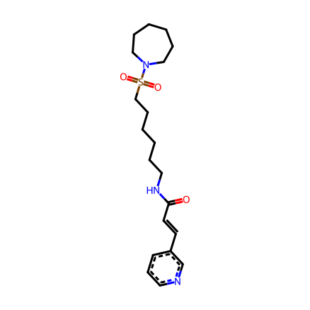 O=C(C=Cc1cccnc1)NCCCCCCS(=O)(=O)N1CCCCCC1